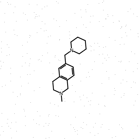 CN1CCc2cc(CN3CCCCC3)ccc2C1